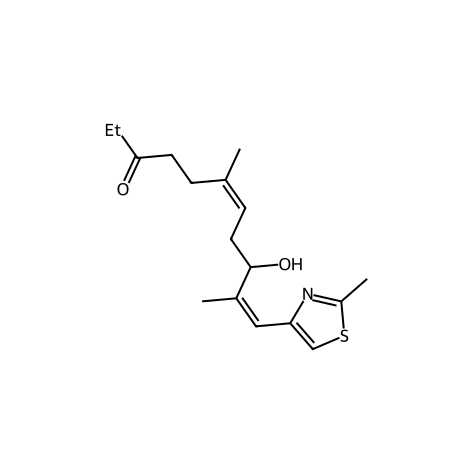 CCC(=O)CCC(C)=CCC(O)C(C)=Cc1csc(C)n1